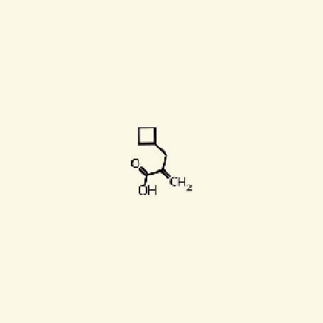 C=C(CC1CCC1)C(=O)O